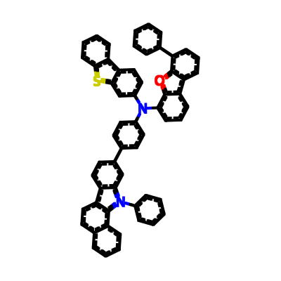 c1ccc(-c2cccc3c2oc2c(N(c4ccc(-c5ccc6c7ccc8ccccc8c7n(-c7ccccc7)c6c5)cc4)c4ccc5c(c4)sc4ccccc45)cccc23)cc1